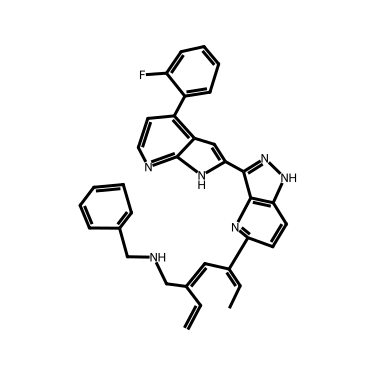 C=C/C(=C\C(=C/C)c1ccc2[nH]nc(-c3cc4c(-c5ccccc5F)ccnc4[nH]3)c2n1)CNCc1ccccc1